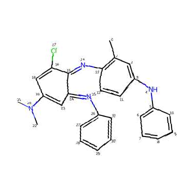 Cc1cc(Nc2ccccc2)ccc1/N=C1/C(Cl)=CC(N(C)C)=C/C1=N\c1ccccc1